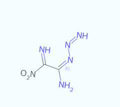 N=N/N=C(/N)C(=N)[N+](=O)[O-]